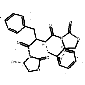 CC(C)[C@H]1COC(=O)N1C(=O)C(Cc1ccccc1)[C@@H](Cc1ccccc1)C(=O)N1C(=O)OC[C@@H]1C(C)C